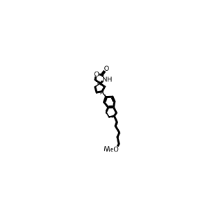 COCCCCCC1CCc2cc([C@H]3CC[C@]4(COC(=O)N4)C3)ccc2C1